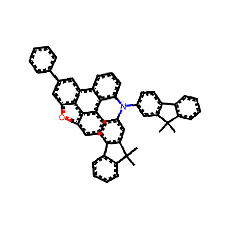 CC1(C)c2ccccc2-c2ccc(N(c3ccc4c(c3)C(C)(C)c3ccccc3-4)c3cccc4c5cc(-c6ccccc6)cc6oc7cccc(c34)c7c65)cc21